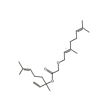 C=CC(C)(CCC=C(C)C)OC(=O)COC/C=C(\C)CCC=C(C)C